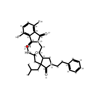 CC(C)CC1(CC(=O)NO)C(=O)N(CCc2ccccc2)CC1CCN1C(=O)c2c(F)ccc(F)c2C1=O